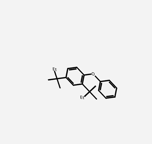 CCC(C)(C)c1ccc(Oc2ccccc2)c(C(C)(C)CC)c1